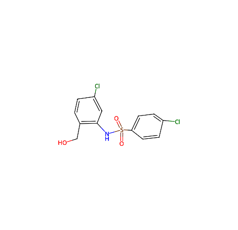 O=S(=O)(Nc1cc(Cl)ccc1CO)c1ccc(Cl)cc1